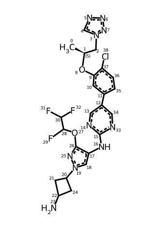 C[C@@H](Cn1cnnn1)Oc1cc(-c2cnc(Nc3cn(C4CC(N)C4)nc3OC(F)C(F)F)nc2)ccc1Cl